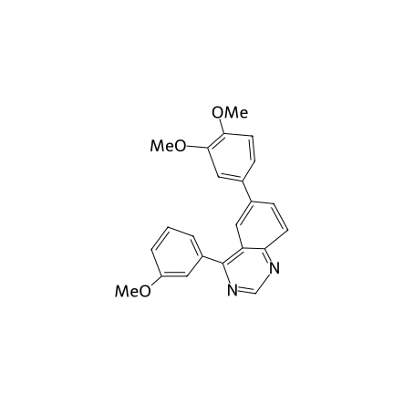 COc1cccc(-c2ncnc3ccc(-c4ccc(OC)c(OC)c4)cc23)c1